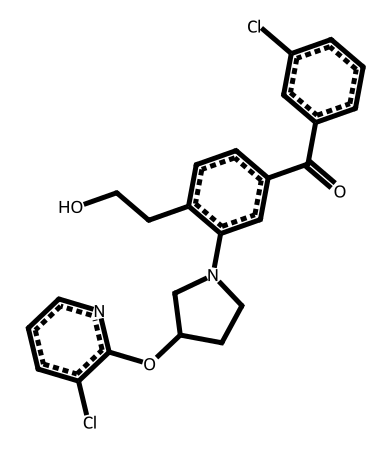 O=C(c1cccc(Cl)c1)c1ccc(CCO)c(N2CCC(Oc3ncccc3Cl)C2)c1